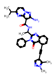 Cc1c(C#Cc2cccc3nc(C(C)NC(=O)c4c(N)nn5ccc(C(C)C)nc45)n(-c4ccccc4)c(=O)c23)cnn1C